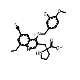 CCc1cc(C#N)cc2c(NCc3ccc(OC)c(Cl)c3)c(C[C@@]3(C(=O)O)CCCN3)cnc12